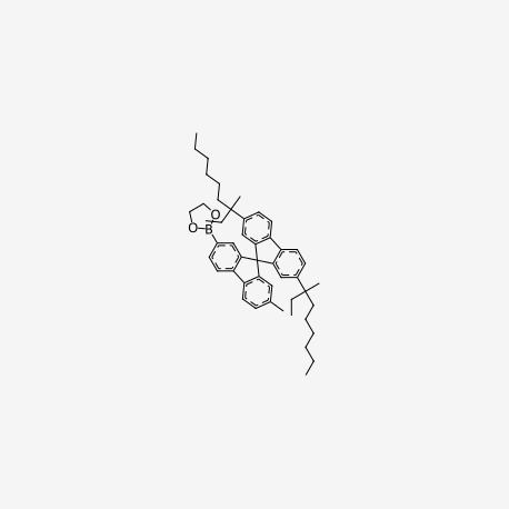 CCCCCCC(C)(CC)c1ccc2c(c1)C1(c3cc(C)ccc3-c3ccc(B4OCCO4)cc31)c1cc(C(C)(CC)CCCCCC)ccc1-2